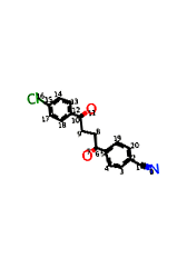 N#Cc1ccc(C(=O)CCC(=O)c2ccc(Cl)cc2)cc1